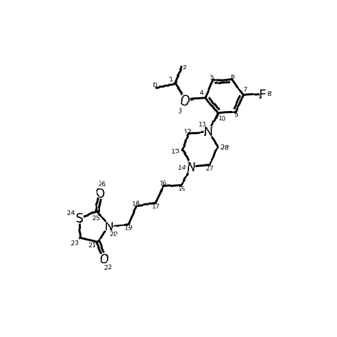 CC(C)Oc1ccc(F)cc1N1CCN(CCCCCN2C(=O)CSC2=O)CC1